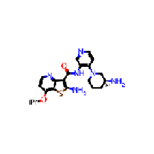 CC(C)Oc1ccnc2c(C(=O)Nc3cnccc3N3CCC[C@H](N)C3)c(N)sc12